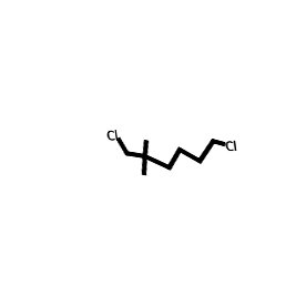 CC(C)(CCl)CCCCCl